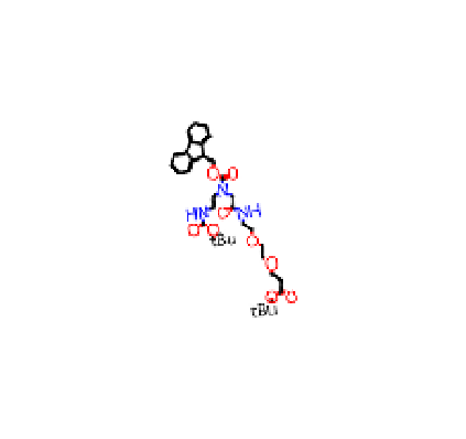 CC(C)(C)OC(=O)CCOCCOCCNC(=O)CN(CCNC(=O)OC(C)(C)C)C(=O)OCC1c2ccccc2-c2ccccc21